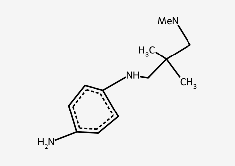 CNCC(C)(C)CNc1ccc(N)cc1